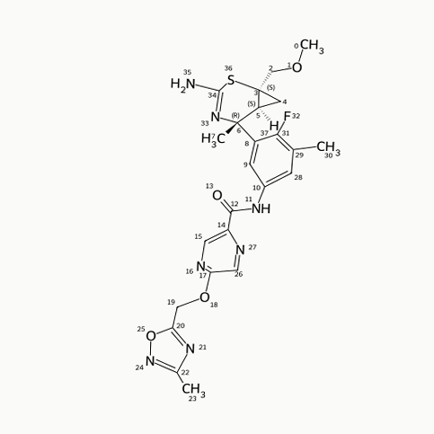 COC[C@]12C[C@H]1[C@](C)(c1cc(NC(=O)c3cnc(OCc4nc(C)no4)cn3)cc(C)c1F)N=C(N)S2